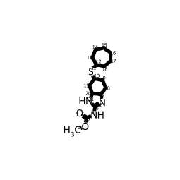 COC(=O)NC1=NC2CCC(SC3CCCCCC3)CC2N1